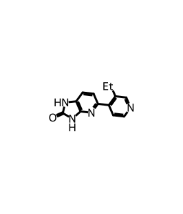 CCc1cnccc1-c1ccc2[nH]c(=O)[nH]c2n1